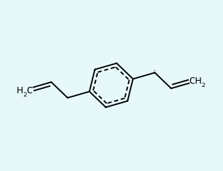 C=C[CH]c1ccc(CC=C)cc1